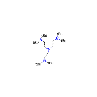 CC(C)(C)N(CCN(CCN(C(C)(C)C)C(C)(C)C)CCN(C(C)(C)C)C(C)(C)C)C(C)(C)C